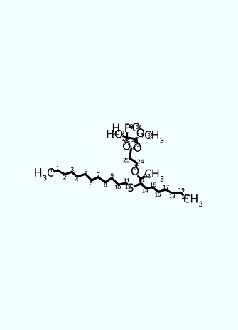 CCCCCCCCCCCCSC(CCCCCCC)C(C)OCCCOC(O)([PH2]=O)C(=O)OC